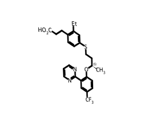 CCc1cc(SCC[C@H](C)Oc2ccc(C(F)(F)F)cc2-c2ncccn2)ccc1CCC(=O)O